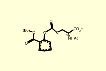 CC(=O)N[C@@H](CSC(=O)Oc1ccccc1C(=O)OC(C)(C)C)C(=O)O